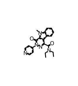 CCN(CC)C(=O)c1nn(-c2ccncc2)c(=O)c2c1c1ccccc1n2C